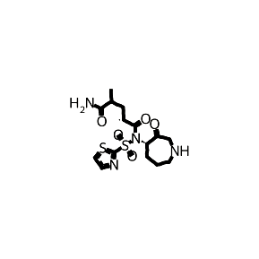 CC(C[CH]C(=O)N([C@H]1CCCNCC1=O)S(=O)(=O)c1nccs1)C(N)=O